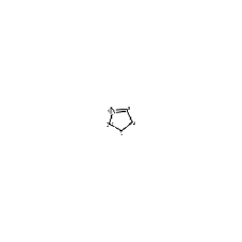 [C]1CCC=N1